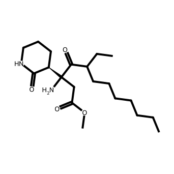 CCCCCCCC(CC)C(=O)C(N)(CC(=O)OC)[C@@H]1CCCNC1=O